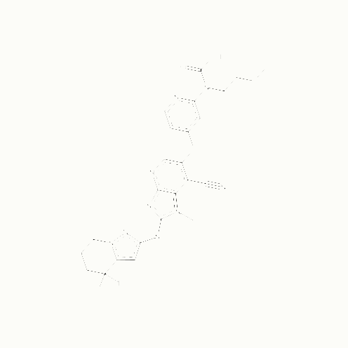 COCCN(C(=O)O)c1cc(Oc2cnc3nc(Nc4cc5n(n4)CCCC5(F)F)n(C)c3c2C#N)ccn1